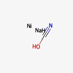 N#CO.[NaH].[Ni]